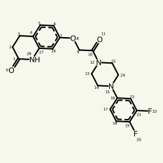 O=C1CCc2ccc(OCC(=O)N3CCN(c4ccc(F)c(F)c4)CC3)cc2N1